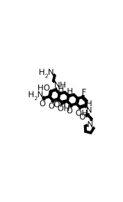 NCCN[C@@H]1C(O)=C(C(N)=O)C(=O)[C@@]2(O)C(O)=C3C(=O)c4c(O)c(NC(=O)CN5CCCC5)cc(F)c4C[C@H]3C[C@@H]12